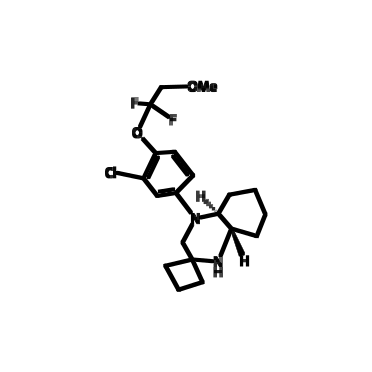 COCC(F)(F)Oc1ccc(N2CC3(CCC3)N[C@H]3CCCC[C@@H]32)cc1Cl